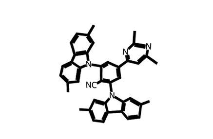 Cc1ccc2c3ccc(C)cc3n(-c3cc(-c4cc(C)nc(C)n4)cc(-n4c5cc(C)ccc5c5ccc(C)cc54)c3C#N)c2c1